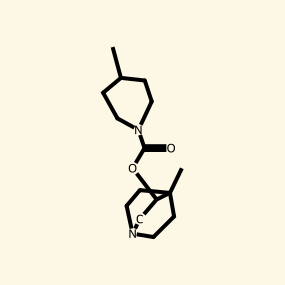 CC1CCN(C(=O)OC2CN3CCC2(C)CC3)CC1